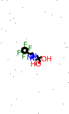 OCC(CO)(CI)Cn1cc(-c2c(F)c(F)cc(F)c2F)nn1